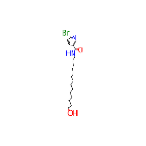 O=C(NCCCCCCCCCCCCCCO)c1ccc(Br)nc1